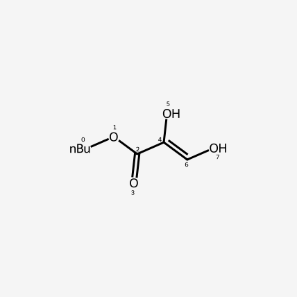 CCCCOC(=O)C(O)=CO